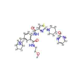 COCCNC(=O)c1cc(CN2C3CCC2CC3)ccc1NC(=O)c1csc(N2CCC(Oc3ncccn3)CC2)n1